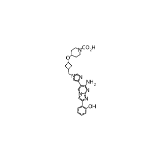 Nc1nc2nc(-c3ccccc3O)cn2cc1-c1cn(CC2CC(OC3CCN(C(=O)O)CC3)C2)cn1